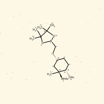 CC(=O)N[C@@]1(C)C[C@H](CCB2OC(C)(C)C(C)(C)O2)CC[C@@H]1OC(C)=O